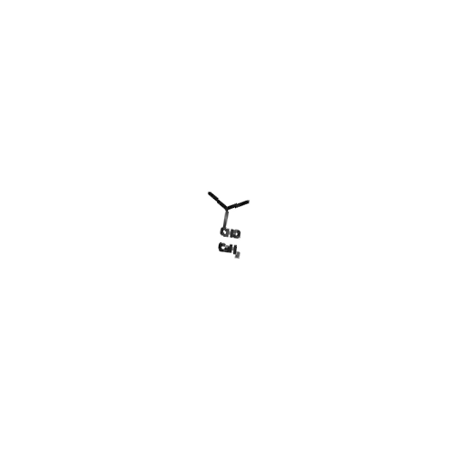 CC(C)C=O.[CaH2]